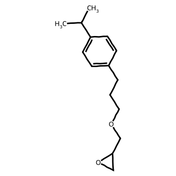 C[C](C)c1ccc(CCCOCC2CO2)cc1